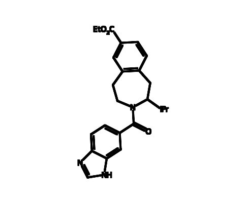 CCOC(=O)c1ccc2c(c1)CCN(C(=O)c1ccc3nc[nH]c3c1)C(C(C)C)C2